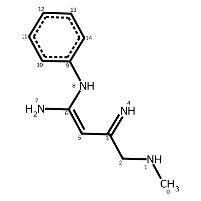 CNCC(=N)/C=C(/N)Nc1ccccc1